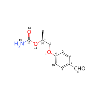 C[C@@H](COc1ccc(C=O)cc1)OC(N)=O